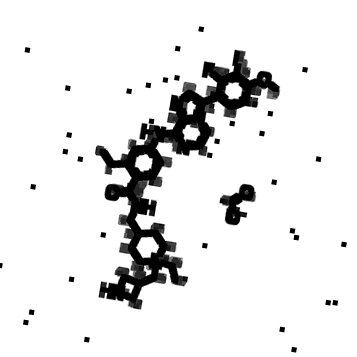 CCc1cc(Nc2nccn3c(-c4ccc(OC)c(F)c4F)cnc23)ccc1C(=O)NCC1CC[N+](CC)(CC2CNC2)CC1.O=C[O-]